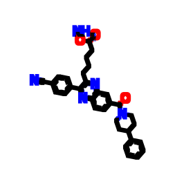 N#Cc1ccc(-c2nc3ccc(C(=O)N4CCC(c5ccccc5)CC4)cc3nc2CCCCC(=O)ON)cc1